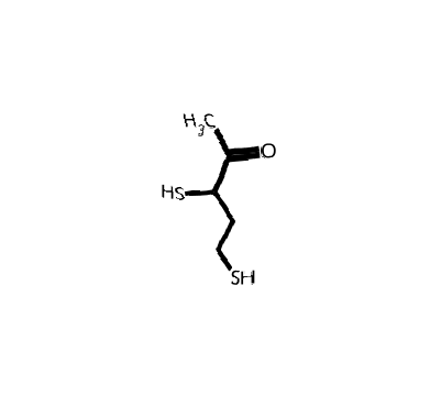 CC(=O)C(S)CCS